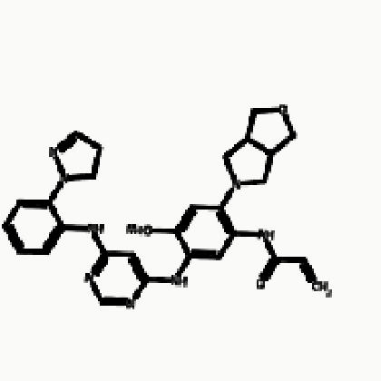 C=CC(=O)Nc1cc(Nc2cc(Nc3ccccc3N3CCC=N3)ncn2)c(OC)cc1N1CC2COCC2C1